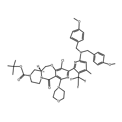 COc1ccc(CN(Cc2ccc(OC)cc2)c2cc(C)c(C(F)(F)F)c(-c3nc(N4CCOCC4)c4c(c3Cl)OC[C@H]3CN(C(=O)OC(C)(C)C)CCN3C4=O)n2)cc1